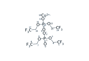 O=P([O-])(OCC(F)(F)F)OCC(F)(F)F.O=P([O-])(OCC(F)(F)F)OCC(F)(F)F.[Cu+2]